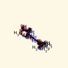 C/C1=C\CC[C@H](C)OC(=O)C[C@H](c2ccc(O)cc2)NC(=O)[C@@H](Cc2c[nH]c3ccccc23)N(C)C(=O)[C@H](CCCCNC(=O)CCCCCNC(=O)c2cccc3c2C(=O)OC32c3ccc(N(C)C)cc3C(C)(C)c3cc(N(C)C)ccc32)NC(=O)[C@@H](C)C1